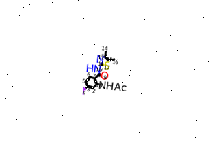 CC(=O)Nc1cc(I)ccc1C(=O)Nc1nc(C)c(C)s1